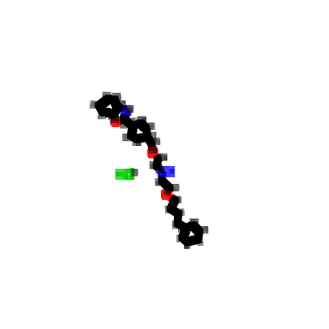 Cl.c1ccc(CCCCOCCNCCOCc2ccc(-c3nc4ccccc4o3)cc2)cc1